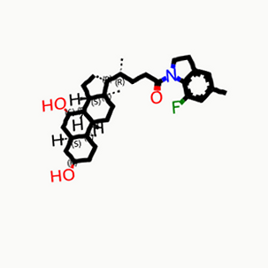 Cc1cc(F)c2c(c1)CCN2C(=O)CC[C@@H](C)[C@H]1CC[C@H]2[C@@H]3[C@@H](O)C[C@@H]4C[C@H](O)CC[C@]4(C)[C@H]3CC[C@]12C